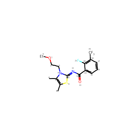 CCOCCn1c(C)c(C)s/c1=N\C(=O)c1cccc(C(F)(F)F)c1F